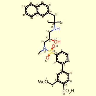 COCc1cc(-c2cccc(S(=O)(=O)N(C)C[C@H](O)CNC(C)(C)Cc3ccc4ccccc4c3)c2)ccc1C(=O)O